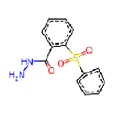 NNC(=O)c1ccccc1S(=O)(=O)c1ccccc1